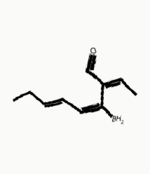 BC(=C/C=C/CC)/C(C=O)=C\C